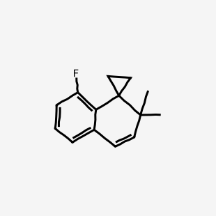 CC1(C)C=Cc2cccc(F)c2C12CC2